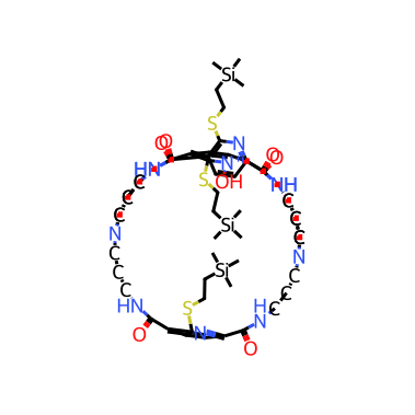 C[Si](C)(C)CCSc1nc2ccc1C(=O)NCCCN1CCCNC(=O)c3ccc(nc3SCC[Si](C)(C)C)C(=O)NCCCN(CCCNC2=O)CCCNC(=O)c2ccc(c(SCC[Si](C)(C)C)[n+]2O)C(=O)NCCC1